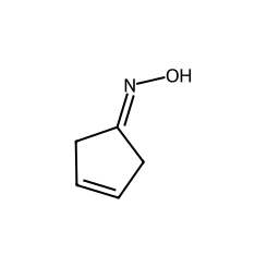 ON=C1CC=CC1